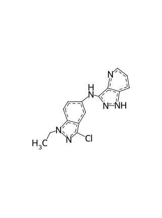 CCn1nc(Cl)c2cc(Nc3n[nH]c4cccnc34)ccc21